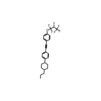 CCCC1CCC(c2ccc(C#Cc3ccc(OC(F)(F)C(F)C(F)(F)F)cc3)cc2)CC1